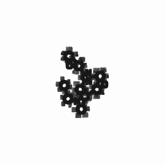 c1ccc(-c2cccc(-n3c4ccccc4c4cc(-c5ccc6oc7cccc(-c8nc(-c9ccccc9)cc(-c9ccc%10c(c9)oc9ccccc9%10)n8)c7c6c5)ccc43)c2)cc1